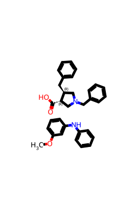 COc1cccc(Nc2ccccc2)c1.O=C(O)[C@H]1CN(Cc2ccccc2)C[C@@H]1Cc1ccccc1